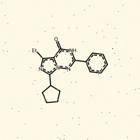 CCc1nc(C2CCCC2)n2nc(-c3ccccc3)[nH]c(=O)c12